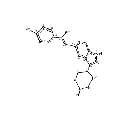 CN1CCC(c2c[nH]c3ccc(C=C(F)c4ccc(F)cc4)cc23)CC1